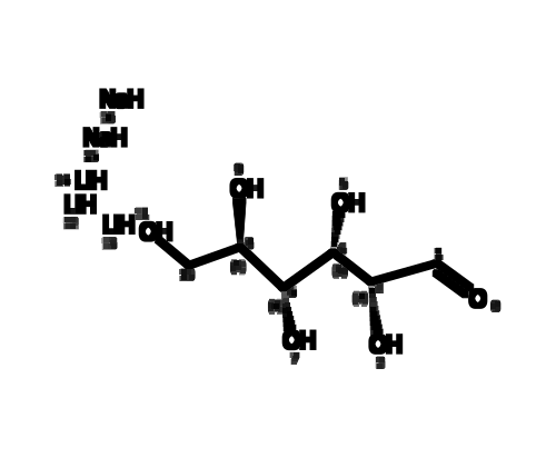 O=C[C@H](O)[C@@H](O)[C@H](O)[C@H](O)CO.[LiH].[LiH].[LiH].[NaH].[NaH]